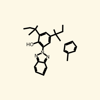 CCC(C)(C)c1cc(-n2nc3ccccc3n2)c(O)c(C(C)(C)CC)c1.Cc1ccccc1